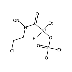 CC[N+](CC)(OP(=O)([O-])CC)C(=O)N(CCCl)N=O